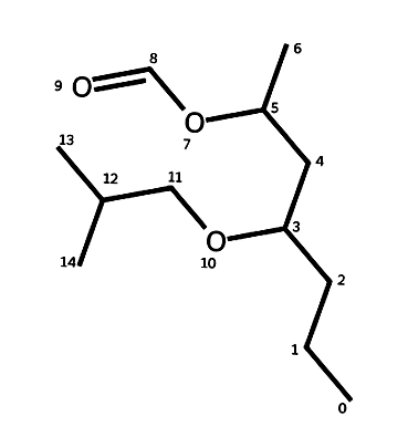 CCCC(CC(C)OC=O)OCC(C)C